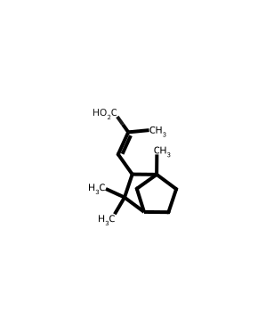 CC(=CC1C2(C)CCC(C2)C1(C)C)C(=O)O